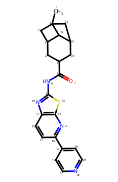 CC12CC3CC(C(=O)Nc4nc5ccc(-c6ccncc6)nc5s4)CC(C1)C32